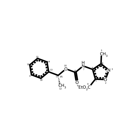 CCOC(=O)c1onc(C)c1NC(=O)O[C@H](C)c1ccccc1